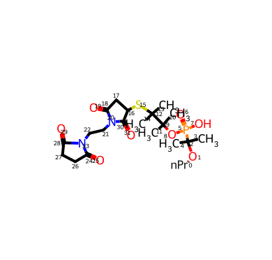 CCCOC(C)(C)P(=O)(O)OC(C)(C)C(C)(C)SC1CC(=O)N(CCN2C(=O)CCC2=O)C1=O